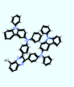 CC(C)(C)c1cccc2nc(-c3ccc(N(c4ccccc4)c4ccc5c(c4)c4ccccc4n5-c4ccccc4)cc3)c(-c3ccc(N(c4ccccc4)c4ccc5c(c4)c4ccccc4n5-c4ccccc4)cc3)nc12